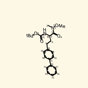 CON(C)C(=O)[C@@H](CCc1ccc(-c2ccccc2)cc1)NC(=O)OC(C)(C)C